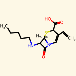 C=CC1=CN2C(=O)C(NCCCCC)[C@H]2SC1C(=O)O